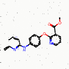 C=C/N=C(\C=C/C)Nc1ccc(Oc2ncccc2C(=O)OC)cc1